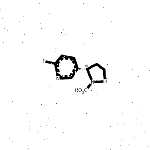 O=C(O)N1OCC[C@H]1c1ccc(F)nc1